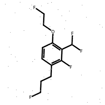 FCCCc1ccc(OCCF)c(C(F)F)c1F